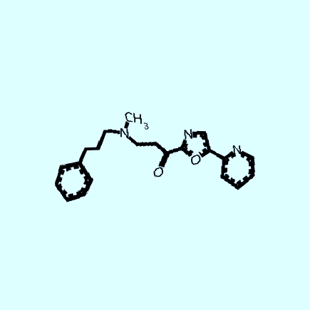 CN(CCCc1ccccc1)CCC(=O)c1ncc(-c2ccccn2)o1